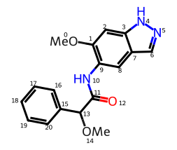 COc1cc2[nH]ncc2cc1NC(=O)C(OC)c1ccccc1